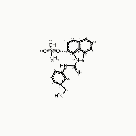 CCc1cccc(NC(=N)N2Cc3cccc4cccc2c34)c1.CS(=O)(=O)O